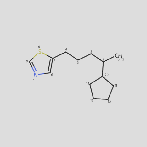 CC(CCCc1cncs1)C1CCCC1